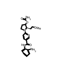 COCC[C@@H]1C(OC(N)=O)CCN1c1ccc(C(=O)Nc2ccccc2N)cn1